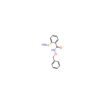 N=Pc1ccccc1C(=O)NOCc1ccccc1